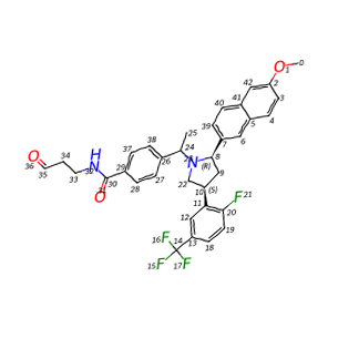 COc1ccc2cc([C@H]3C[C@@H](c4cc(C(F)(F)F)ccc4F)CN3C(C)c3ccc(C(=O)NCCC=O)cc3)ccc2c1